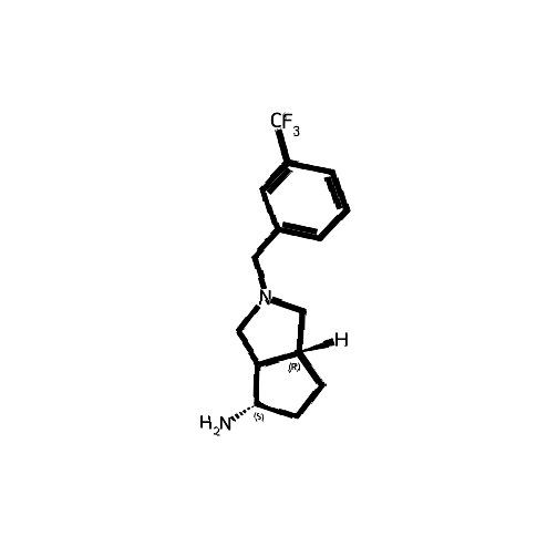 N[C@H]1CC[C@H]2CN(Cc3cccc(C(F)(F)F)c3)CC21